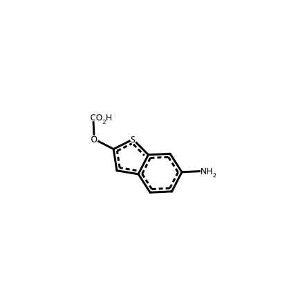 Nc1ccc2cc(OC(=O)O)sc2c1